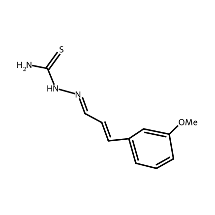 COc1cccc(C=CC=NNC(N)=S)c1